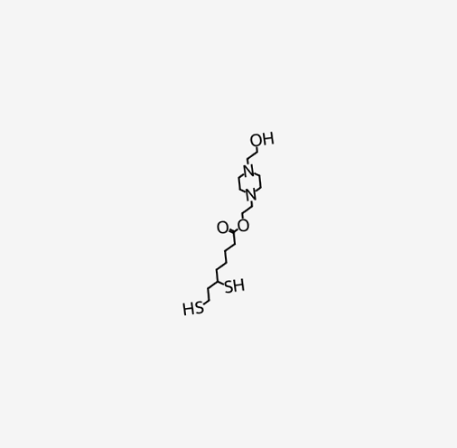 O=C(CCCCC(S)CCS)OCCN1CCN(CCO)CC1